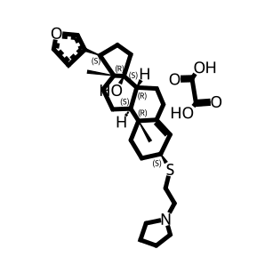 C[C@]12CC[C@H](SCCN3CCCC3)C=C1CC[C@@H]1[C@@H]2CC[C@]2(C)[C@@H](c3ccoc3)CC[C@]12O.O=C(O)C(=O)O